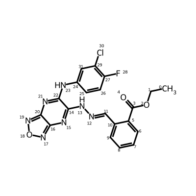 CCOC(=O)c1ccccc1C=NNc1nc2nonc2nc1Nc1ccc(F)c(Cl)c1